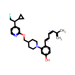 C=C(C)/C=C\C=C\c1ccc(O)cc1N1CCC(COc2cc(C(CF)C3CC3)ccn2)CC1